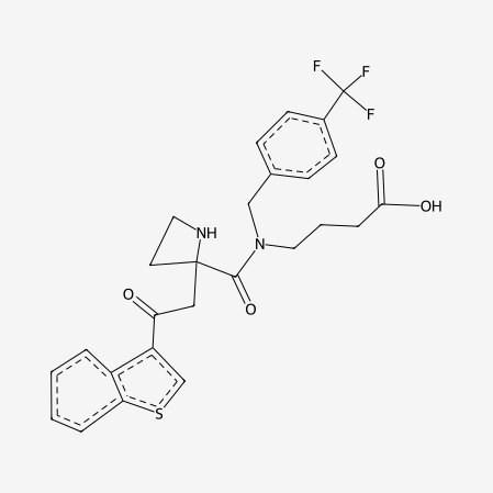 O=C(O)CCCN(Cc1ccc(C(F)(F)F)cc1)C(=O)C1(CC(=O)c2csc3ccccc23)CCN1